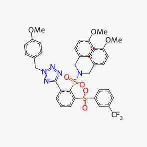 COc1ccc(CN(Cc2ccc(OC)cc2)S(=O)(=O)c2c(-c3nnn(Cc4ccc(OC)cc4)n3)cccc2S(=O)(=O)c2cccc(C(F)(F)F)c2)cc1